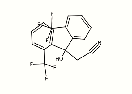 N#CCC(O)(c1ccccc1C(F)(F)F)c1ccccc1C(F)(F)F